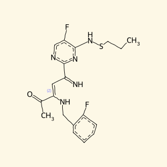 CCCSNc1nc(C(=N)/C=C(\NCc2ccccc2F)C(C)=O)ncc1F